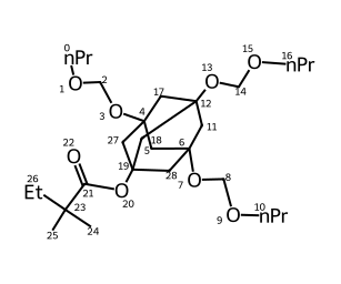 CCCOCOC12CC3(OCOCCC)CC(OCOCCC)(C1)CC(OC(=O)C(C)(C)CC)(C2)C3